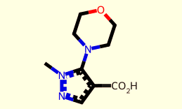 Cn1ncc(C(=O)O)c1N1CCOCC1